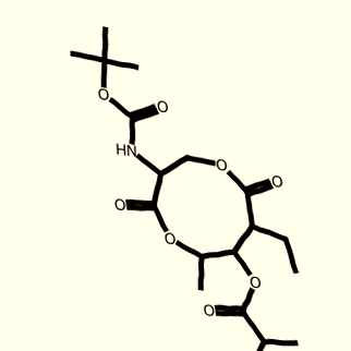 CCC1C(=O)OCC(NC(=O)OC(C)(C)C)C(=O)OC(C)C1OC(=O)C(C)C